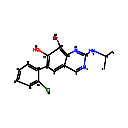 CC(C)Nc1ncc2cc(-c3ccccc3Cl)c(O)c(Br)c2n1